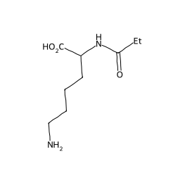 CCC(=O)NC(CCCCN)C(=O)O